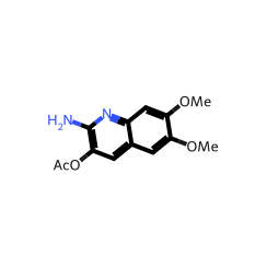 COc1cc2cc(OC(C)=O)c(N)nc2cc1OC